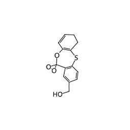 OCc1ccc2c(c1)C1(OO1)OC1=C(CCC=C1)S2